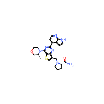 C[C@@H]1COCCN1c1nc(-c2ccnc3[nH]ccc23)nc2c(CN3CCC[C@H]3C(N)=O)csc12